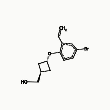 C=Cc1cc(Br)ccc1O[C@H]1C[C@H](CO)C1